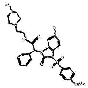 CCCN1CCN(CCNC(=O)C(c2ccccc2)n2c(=O)n(S(=O)(=O)c3ccc(OC)cc3)c3ccc(Cl)cc32)CC1